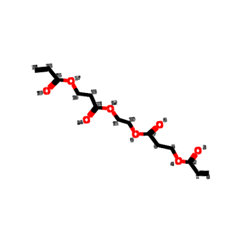 C=CC(=O)OCCC(=O)OCCOC(=O)CCOC(=O)C=C